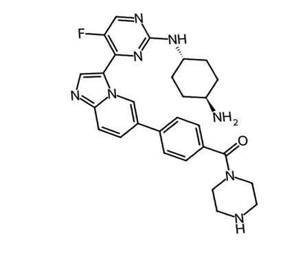 N[C@H]1CC[C@H](Nc2ncc(F)c(-c3cnc4ccc(-c5ccc(C(=O)N6CCNCC6)cc5)cn34)n2)CC1